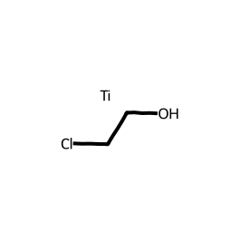 OCCCl.[Ti]